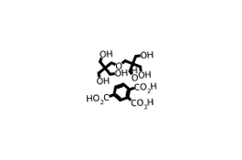 O=C(O)c1ccc(C(=O)O)c(C(=O)O)c1.OCC(CO)(CO)COCC(CO)(CO)CO